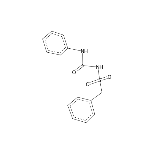 O=C(Nc1ccccc1)NS(=O)(=O)Cc1ccccc1